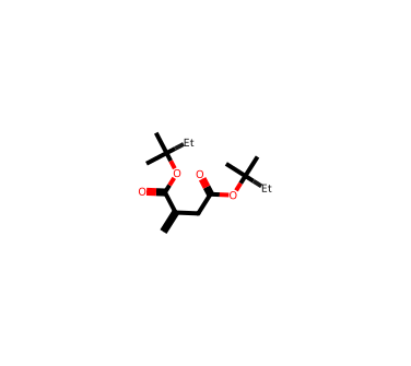 C=C(CC(=O)OC(C)(C)CC)C(=O)OC(C)(C)CC